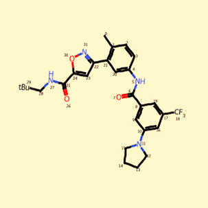 Cc1ccc(NC(=O)c2cc(N3CCCC3)cc(C(F)(F)F)c2)cc1-c1cc(C(=O)NCC(C)(C)C)on1